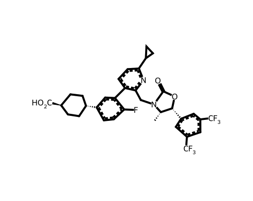 C[C@H]1[C@@H](c2cc(C(F)(F)F)cc(C(F)(F)F)c2)OC(=O)N1Cc1nc(C2CC2)ccc1-c1cc([C@H]2CC[C@H](C(=O)O)CC2)ccc1F